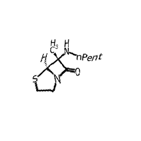 CCCCCN[C@]1(C)C(=O)N2CCS[C@H]21